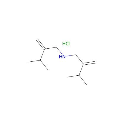 C=C(CNCC(=C)C(C)C)C(C)C.Cl